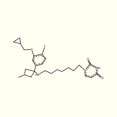 CN1CC(NCCCCCCCn2ccc(=O)[nH]c2=O)(c2ccc(F)c(OCC3CC3)c2)C1